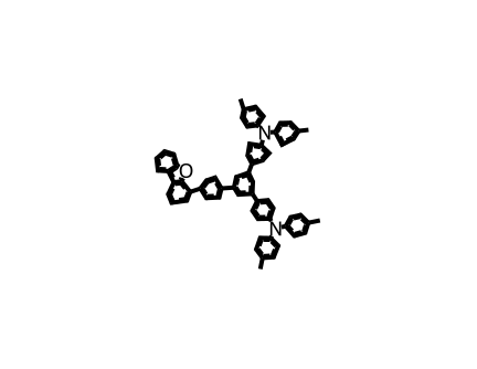 Cc1ccc(N(c2ccc(C)cc2)c2ccc(-c3cc(-c4ccc(-c5cccc6c5oc5ccccc56)cc4)cc(-c4ccc(N(c5ccc(C)cc5)c5ccc(C)cc5)cc4)c3)cc2)cc1